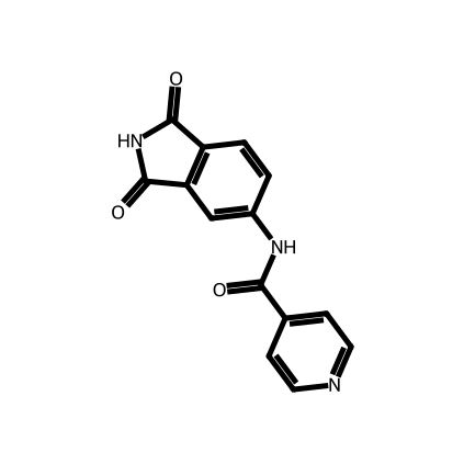 O=C(Nc1ccc2c(c1)C(=O)NC2=O)c1ccncc1